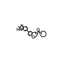 Cc1nc2ccc(-c3ccc4c(c3)CN(C(=O)N3CCCCCCC3)CCO4)cc2[nH]1